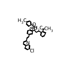 C=C(C)c1ccccc1CCC(OS(=O)(=O)c1ccc(C)cc1)c1cccc(C=Cc2ccc3ccc(Cl)cc3n2)c1